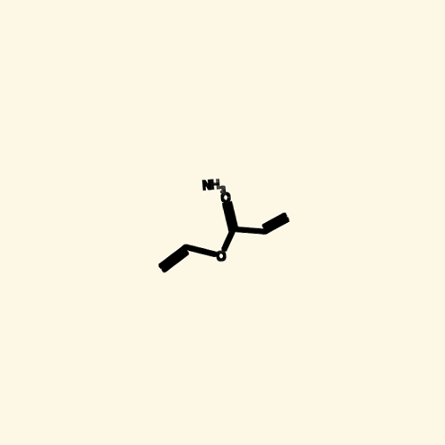 C=COC(=O)C=C.N